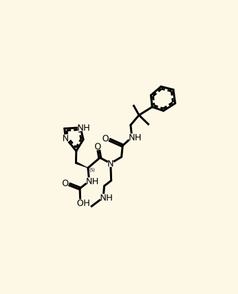 CNCCN(CC(=O)NCC(C)(C)c1ccccc1)C(=O)[C@H](Cc1c[nH]cn1)NC(=O)O